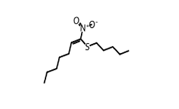 CCCCCC=C(SCCCCC)[N+](=O)[O-]